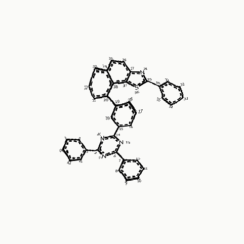 c1ccc(-c2nc(-c3ccccc3)nc(-c3cccc(-c4cccc5ccc6nc(-c7ccccc7)sc6c45)c3)n2)cc1